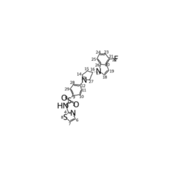 O=S(=O)(Nc1nccs1)c1ccc(N2CC[C@H](n3ccc4c(F)cccc43)C2)cc1